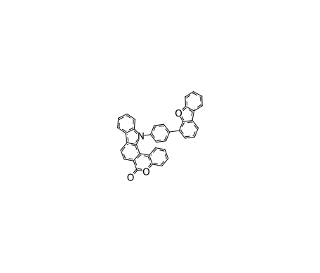 O=c1oc2ccccc2c2c1ccc1c3ccccc3n(-c3ccc(-c4cccc5c4oc4ccccc45)cc3)c12